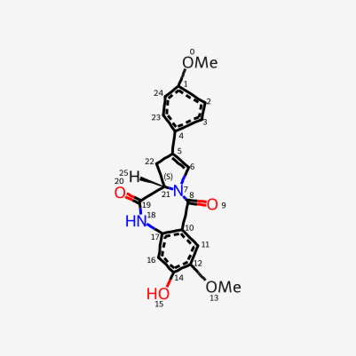 COc1ccc(C2=CN3C(=O)c4cc(OC)c(O)cc4NC(=O)[C@@H]3C2)cc1